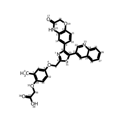 Cc1cc(OCc2nc(-c3ccc4c(c3)NC(=O)CO4)c(-c3cnc4ccccc4c3)s2)ccc1OCC(=O)O